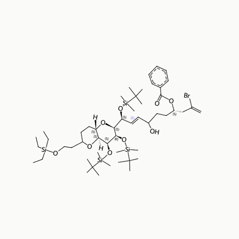 C=C(Br)C[C@H](CCC(O)/C=C/[C@H](O[Si](C)(C)C(C)(C)C)[C@@H]1O[C@H]2CCC(CCO[Si](CC)(CC)CC)O[C@@H]2[C@H](O[Si](C)(C)C(C)(C)C)[C@@H]1O[Si](C)(C)C(C)(C)C)OC(=O)c1ccccc1